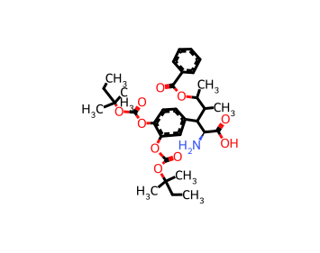 CCC(C)(C)OC(=O)Oc1ccc(C(C(C)C(C)OC(=O)c2ccccc2)[C@H](N)C(=O)O)cc1OC(=O)OC(C)(C)CC